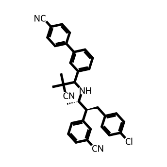 C[C@H](NC(c1cccc(-c2ccc(C#N)cc2)c1)C(C)(C)C#N)[C@@H](Cc1ccc(Cl)cc1)c1cccc(C#N)c1